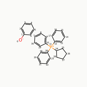 [O-]c1ccccc1.c1ccc([P+](c2ccccc2)(c2ccccc2)C2CCCC2)cc1